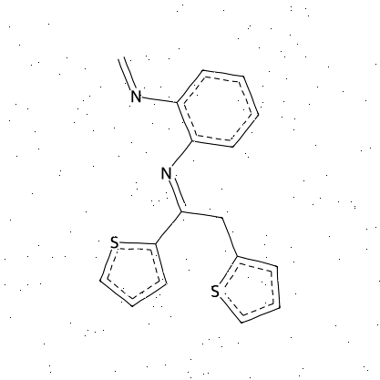 C=Nc1ccccc1/N=C(\Cc1cccs1)c1cccs1